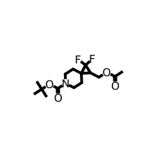 CC(=O)OCC1C(F)(F)C12CCN(C(=O)OC(C)(C)C)CC2